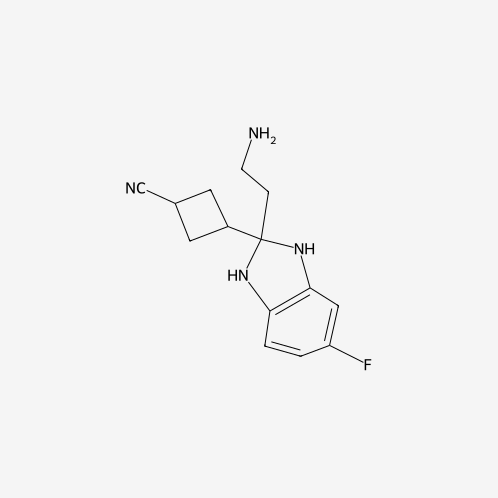 N#CC1CC(C2(CCN)Nc3ccc(F)cc3N2)C1